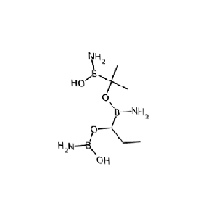 CCC(OB(N)O)B(N)OC(C)(C)B(N)O